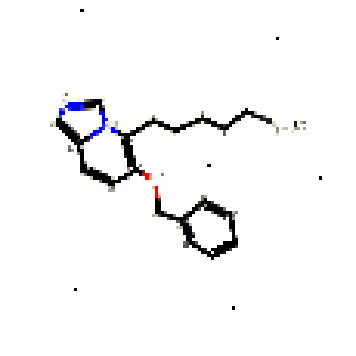 CCOC(=O)CCCCCc1c(OCc2ccccc2)ccc2cncn12